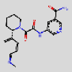 C=C(/C=C\C=N/C)[C@@H]1CCCCN1C(=O)C(=O)Nc1cncc(C(N)=O)c1